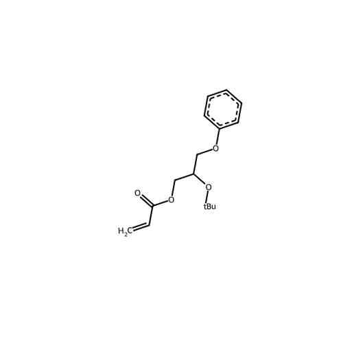 C=CC(=O)OCC(COc1ccccc1)OC(C)(C)C